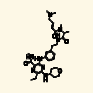 CCc1nc(C(=O)NC)c(Nc2cccc(CCNC(=O)C(C)N(C)C(=O)/C=C/CN(C)C)c2)nc1NC1CCOCC1